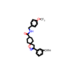 COc1cccc(C2=NOC3(CCC(C(=O)NCc4ccc(OC(F)(F)F)cc4)CC3)C2)c1